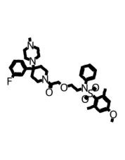 COc1cc(C)c(S(=O)(=O)N(CCOCC(=O)N2CCC(c3cccc(F)c3)(N3CCN(C)CC3)CC2)c2ccccc2)c(C)c1